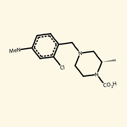 CNc1ccc(CN2CCN(C(=O)O)[C@@H](C)C2)c(Cl)c1